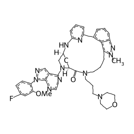 COc1cc(F)ccc1-n1ncc2c(N3C[C@@H]4C[C@H]3C(=O)N(CCCN3CCOCC3)CCCc3c5c(cccc5nn3C)-c3cccc(n3)N4)ncnc21